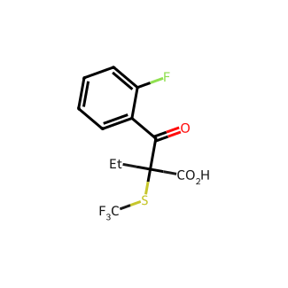 CCC(SC(F)(F)F)(C(=O)O)C(=O)c1ccccc1F